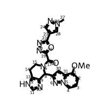 COc1cccn2nc(C3c4nc[nH]c4CCN3C(=O)c3nnc(-c4cnn(C)c4)o3)cc12